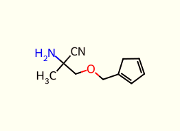 CC(N)(C#N)COCC1=CC=CC1